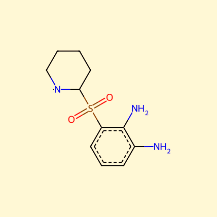 Nc1cccc(S(=O)(=O)C2CCCC[N]2)c1N